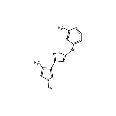 CCCn1cc(-c2csc(Nc3cccc(C)n3)n2)c(C)n1